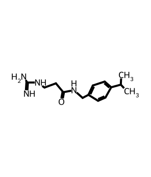 CC(C)c1ccc(CNC(=O)CCNC(=N)N)cc1